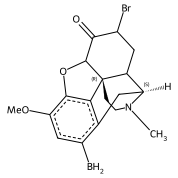 Bc1cc(OC)c2c3c1C[C@H]1C4CC(Br)C(=O)C(O2)[C@@]34CCN1C